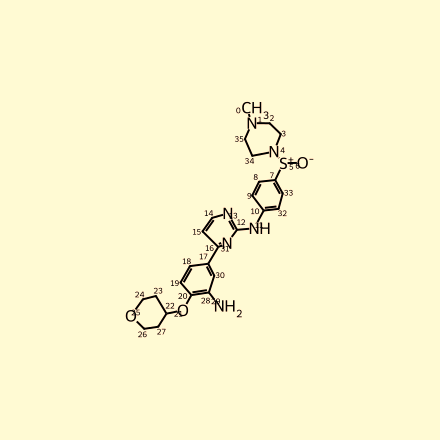 CN1CCN([S+]([O-])c2ccc(Nc3nccc(-c4ccc(OC5CCOCC5)c(N)c4)n3)cc2)CC1